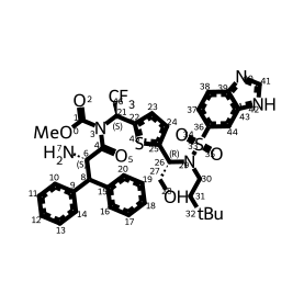 COC(=O)N(C(=O)[C@@H](N)C(c1ccccc1)c1ccccc1)[C@H](c1ccc([C@@H](CO)N(CCC(C)(C)C)S(=O)(=O)c2ccc3nc[nH]c3c2)s1)C(F)(F)F